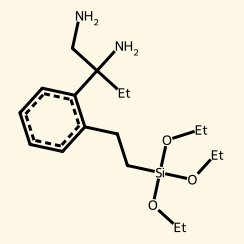 CCO[Si](CCc1ccccc1C(N)(CC)CN)(OCC)OCC